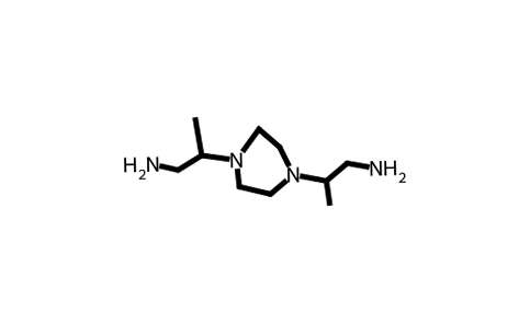 CC(CN)N1CCN(C(C)CN)CC1